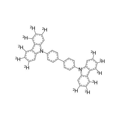 [2H]c1cc2c(c([2H])c1[2H])c1c([2H])c([2H])c([2H])cc1n2-c1ccc(-c2ccc(-n3c4cc([2H])c([2H])c([2H])c4c4c([2H])c([2H])c([2H])cc43)cc2)cc1